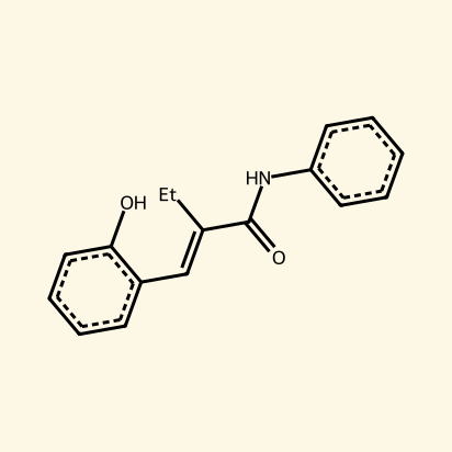 CCC(=Cc1ccccc1O)C(=O)Nc1ccccc1